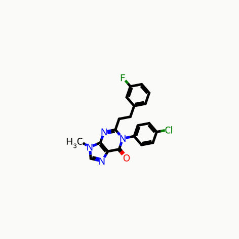 Cn1cnc2c(=O)n(-c3ccc(Cl)cc3)c(CCc3cccc(F)c3)nc21